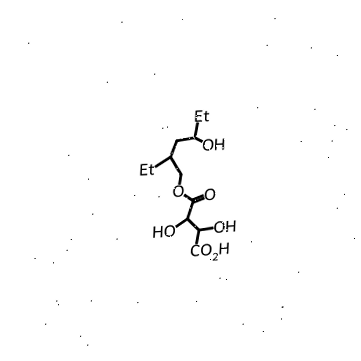 CCC(O)CC(CC)COC(=O)C(O)C(O)C(=O)O